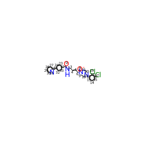 O=C(NCC=CC[N+]1([O-])CCN(c2cccc(Cl)c2Cl)CC1)c1ccc(-c2ccccn2)cc1